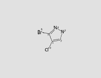 ClC1=C[N]N=C1Br